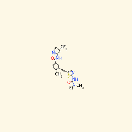 CCN(C)C(=O)Nc1ncc(C#Cc2cc(C(=O)Nc3cc(C(F)(F)F)ccn3)ccc2C)s1